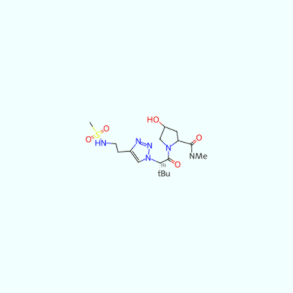 CNC(=O)C1CC(O)CN1C(=O)[C@@H](n1cc(CCNS(C)(=O)=O)nn1)C(C)(C)C